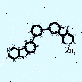 CN1C=c2c(oc3ccc(-c4cccc(-c5ccc6c(c5)C5C=NC=CC5O6)c4)cc23)=CC1